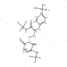 CC(C)(C)OC(=O)N[C@@H](CCN(Cc1ccc(C(F)(F)F)cc1)C(=O)OC(C)(C)C)C(=O)O